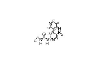 CBc1cnc(NC(=O)NCC)cc1-c1cccnc1